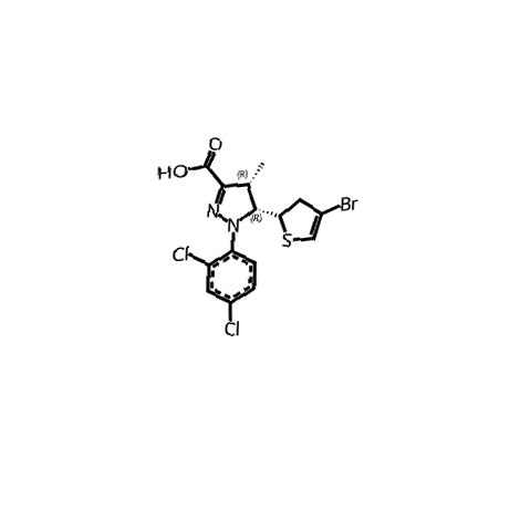 C[C@H]1C(C(=O)O)=NN(c2ccc(Cl)cc2Cl)[C@H]1C1CC(Br)=CS1